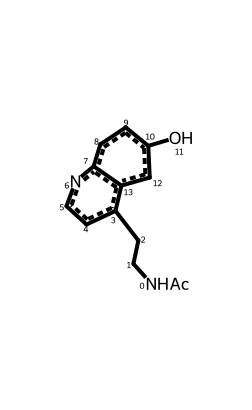 CC(=O)NCCc1ccnc2ccc(O)cc12